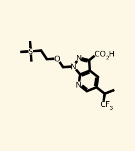 CC(c1cnc2c(c1)c(C(=O)O)nn2COCCS(C)(C)C)C(F)(F)F